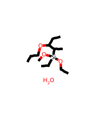 CCCOC(CC)C(C)[Si](CC)(OC)OCC.O